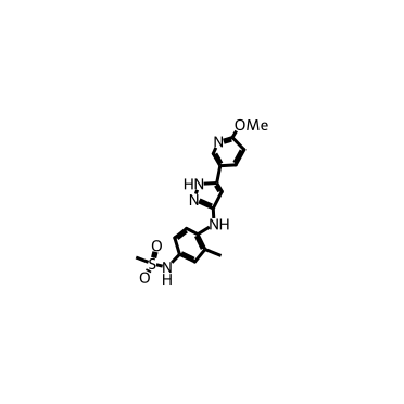 COc1ccc(-c2cc(Nc3ccc(NS(C)(=O)=O)cc3C)n[nH]2)cn1